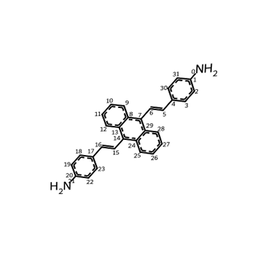 Nc1ccc(C=Cc2c3ccccc3c(C=Cc3ccc(N)cc3)c3ccccc23)cc1